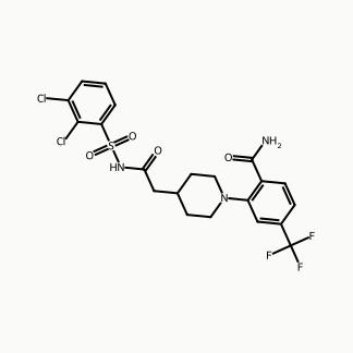 NC(=O)c1ccc(C(F)(F)F)cc1N1CCC(CC(=O)NS(=O)(=O)c2cccc(Cl)c2Cl)CC1